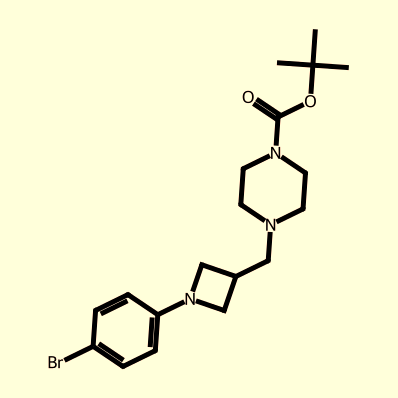 CC(C)(C)OC(=O)N1CCN(CC2CN(c3ccc(Br)cc3)C2)CC1